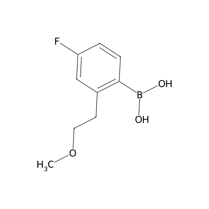 COCCc1cc(F)ccc1B(O)O